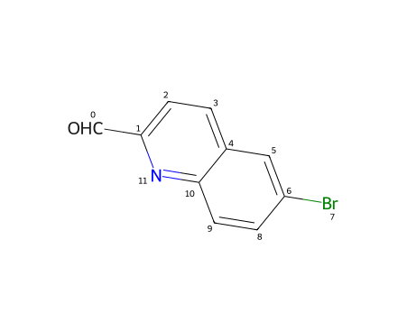 O=Cc1ccc2cc(Br)ccc2n1